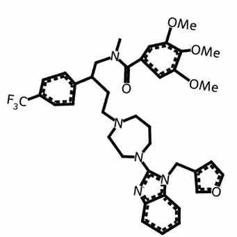 COc1cc(C(=O)N(C)CC(CCN2CCCN(c3nc4ccccc4n3Cc3ccoc3)CC2)c2ccc(C(F)(F)F)cc2)cc(OC)c1OC